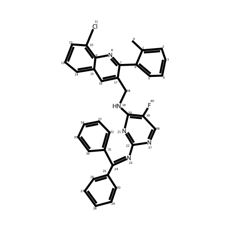 Cc1ccccc1-c1nc2c(Cl)cccc2cc1CNc1nc(N=C(c2ccccc2)c2ccccc2)ncc1F